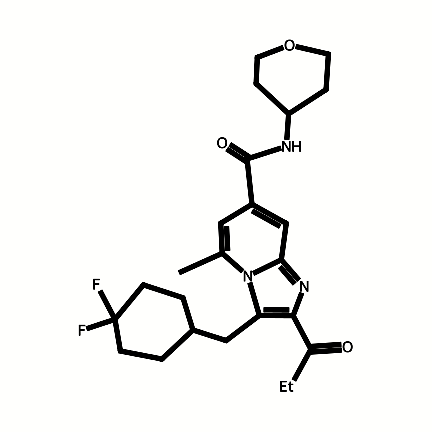 CCC(=O)c1nc2cc(C(=O)NC3CCOCC3)cc(C)n2c1CC1CCC(F)(F)CC1